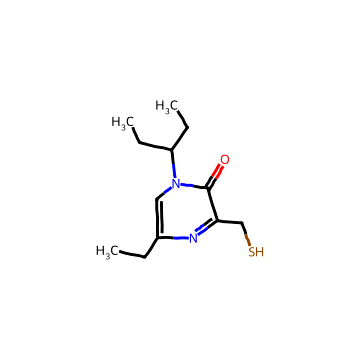 CCc1cn(C(CC)CC)c(=O)c(CS)n1